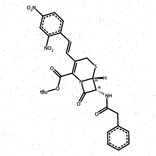 CC(C)(C)OC(=O)C1=C(C=Cc2ccc([N+](=O)[O-])cc2[N+](=O)[O-])CS[C@@H]2[C@H](NC(=O)Cc3ccccc3)C(=O)N12